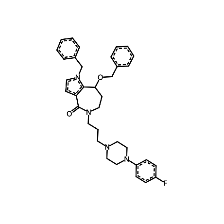 O=C1c2ccn(Cc3ccccc3)c2C(OCc2ccccc2)CCN1CCCN1CCN(c2ccc(F)cc2)CC1